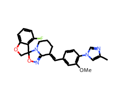 COc1cc(/C=C2\CCCN3C2=NOC32COc3cccc(F)c32)ccc1-n1cnc(C)c1